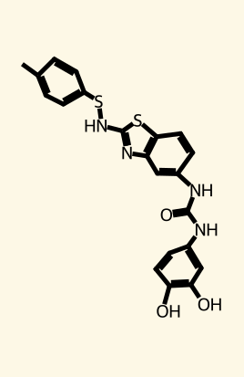 Cc1ccc(SNc2nc3cc(NC(=O)Nc4ccc(O)c(O)c4)ccc3s2)cc1